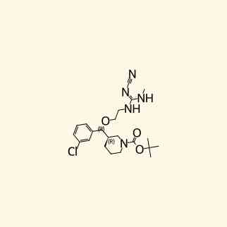 CNC(=NC#N)NCCO[C@@H](c1cccc(Cl)c1)[C@@H]1CCCN(C(=O)OC(C)(C)C)C1